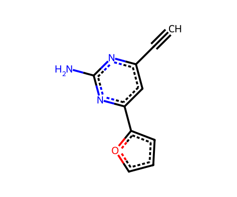 C#Cc1cc(-c2ccco2)nc(N)n1